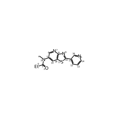 CCC(=O)N(C)c1cnc2nc(-c3cccnc3)sc2c1